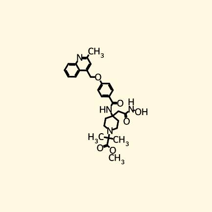 COC(=O)C(C)(C)N1CCC(CC(=O)NO)(NC(=O)c2ccc(OCc3cc(C)nc4ccccc34)cc2)CC1